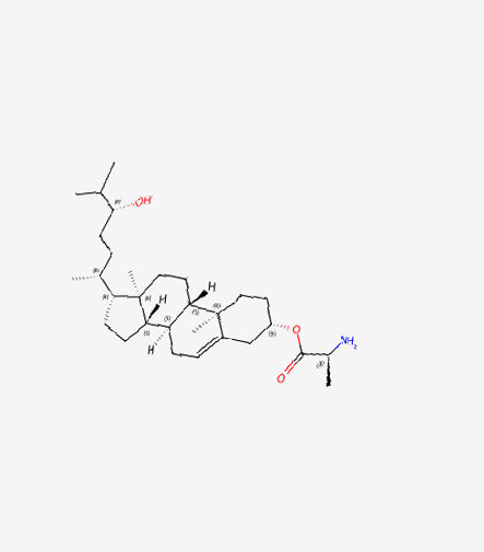 CC(C)[C@H](O)CC[C@@H](C)[C@H]1CC[C@H]2[C@@H]3CC=C4C[C@@H](OC(=O)[C@H](C)N)CC[C@]4(C)[C@H]3CC[C@]12C